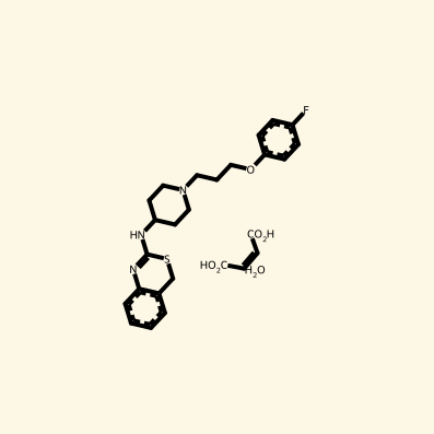 Fc1ccc(OCCCN2CCC(NC3=Nc4ccccc4CS3)CC2)cc1.O.O=C(O)/C=C\C(=O)O